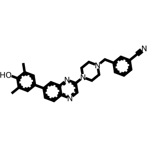 Cc1cc(-c2ccc3ncc(N4CCN(Cc5cccc(C#N)c5)CC4)nc3c2)cc(C)c1O